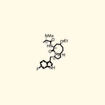 CCOC1CC[C@H]2CC[C@@H](Cc3c[nH]c4cc(F)ccc34)N2C(=O)[C@@H](NC(=O)[C@H](C)NC)C1